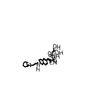 N#C/C(=C\c1ccc2cc(NCCN3CCCCCC3)ccc2c1)S(=O)(=O)NCC(O)CO